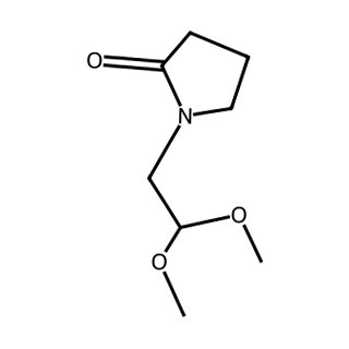 COC(CN1CCCC1=O)OC